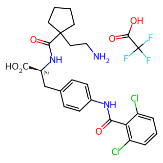 NCCC1(C(=O)N[C@@H](Cc2ccc(NC(=O)c3c(Cl)cccc3Cl)cc2)C(=O)O)CCCC1.O=C(O)C(F)(F)F